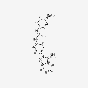 CSc1ccc(NC(=O)Nc2ccc(N3Oc4ccccc4C3N)cc2)cc1